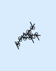 CCCCCCC(CCCC)C(=O)OCCCCOC(=O)CCN(CCCN(C)CCCN(CCC(=O)OCCCCOC(=O)C(CCCC)CCCCCC)CCC(=O)OCCCCOC(=O)C(CCCC)CCCCCC)CCC(=O)OCCCCOC(=O)C(CCCC)CCCCCC